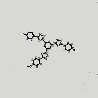 Oc1ccc(-c2nnc(-c3cc(-c4nnc(-c5ccc(O)cc5)o4)cc(-c4nnc(-c5ccc(O)cc5)o4)c3)o2)cc1